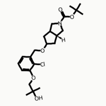 CC(C)(O)COc1cccc(COC2CC3CN(C(=O)OC(C)(C)C)C[C@@H]3C2)c1Cl